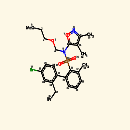 COCCOCN(c1onc(C)c1C)S(=O)(=O)c1c(C)cccc1-c1ccc(Br)cc1CC(C)C